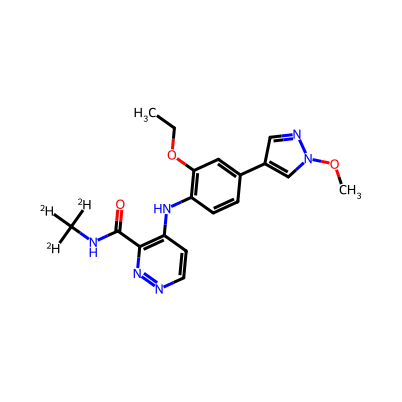 [2H]C([2H])([2H])NC(=O)c1nnccc1Nc1ccc(-c2cnn(OC)c2)cc1OCC